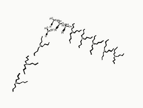 CCCCN(CCCC)CCCC.CCCCN(CCCC)CCCC.CCCCN(CCCC)CCCC.CCCCN(CCCC)CCCC.CCCCN(CCCC)CCCC.CCCCN(CCCC)CCCC.CCCCN(CCCC)CCCC.CCCCN(CCCC)CCCC.N#CB(O)O.N#CB(O)O.N#CB(O)O.N#CB(O)O